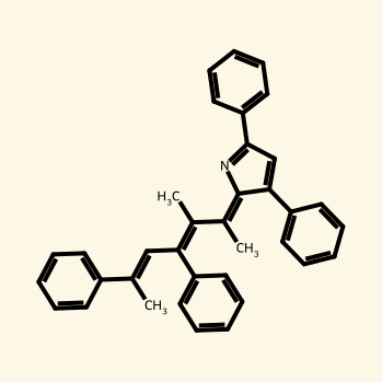 CC(=C1/N=C(c2ccccc2)C=C1c1ccccc1)/C(C)=C(/C=C(\C)c1ccccc1)c1ccccc1